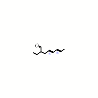 C/C=C/C=C/CC(C=O)CC